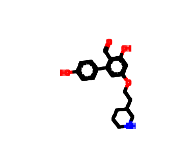 O=Cc1c(O)cc(OCCC2CCCNC2)cc1-c1ccc(O)cc1